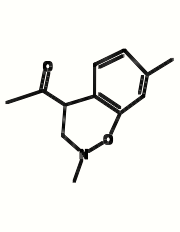 CC(=O)C1CN(C)Oc2cc(C)ccc21